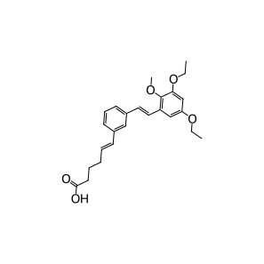 CCOc1cc(C=Cc2cccc(C=CCCCC(=O)O)c2)c(OC)c(OCC)c1